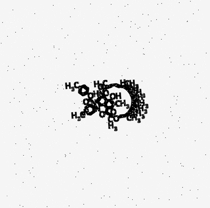 C/C1=C/C=C/[C@H](C)[C@H](O)[C@@H](C)[C@@H](O)[C@@H](C)[C@H](C)[C@H](C)[C@@H](C)/C=C/O[C@@]2(C)Oc3c(C)c(O)c4c(c3C2=O)C2=NC3(CCN(C)CC3)N(C(=O)Oc3ccc(C)cc3)C2=C(NC1=O)C4=O